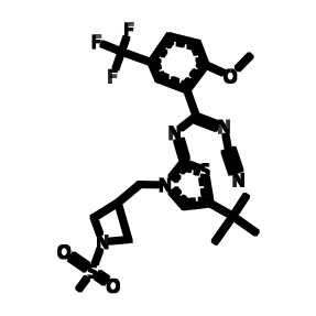 COc1ccc(C(F)(F)F)cc1C(=NC#N)N=c1sc(C(C)(C)C)cn1CC1CN(S(C)(=O)=O)C1